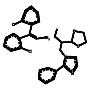 BC=C(c1ccccc1Cl)c1ccccc1Cl.CCC(Cn1ccnc1-c1ccccc1)C1OCCO1